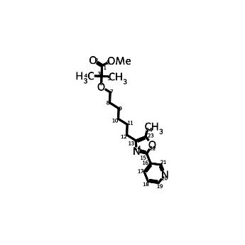 COC(=O)C(C)(C)OCCCCCCc1nc(-c2cccnc2)oc1C